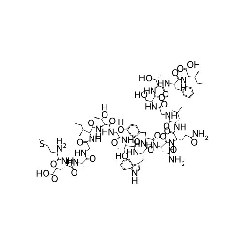 CC[C@H](C)[C@H](NC(=O)[C@H](Cc1ccccc1)NC(=O)[C@@H](NC(=O)[C@H](CO)NC(=O)CNC(=O)[C@H](CC(C)C)NC(=O)[C@H](CCC(N)=O)NC(=O)[C@H](CC(N)=O)NC(=O)[C@H](Cc1ccc(O)cc1)NC(=O)[C@H](Cc1c[nH]c2ccccc12)NC(=O)[C@@H](NC(=O)CNC(=O)[C@@H](NC(=O)[C@@H](NC(=O)CNC(=O)[C@H](C)NC(=O)[C@H](CCC(=O)O)NC(=O)[C@@H](N)CCSC)[C@@H](C)CC)[C@@H](C)O)[C@@H](C)O)[C@@H](C)O)C(=O)O